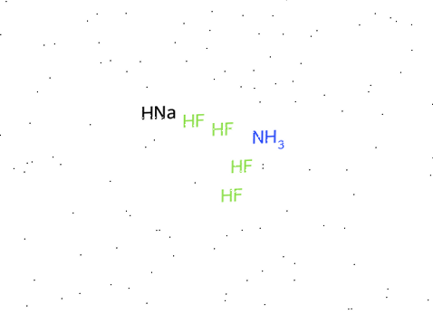 F.F.F.F.N.[NaH]